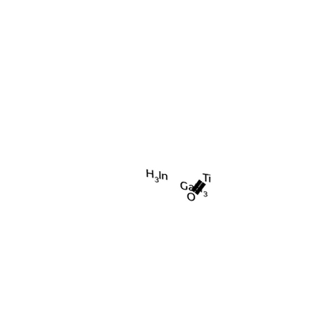 [GaH3].[InH3].[O]=[Ti]